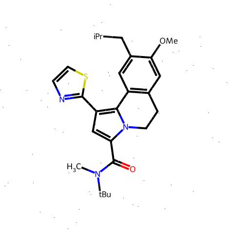 COc1cc2c(cc1CC(C)C)-c1c(-c3nccs3)cc(C(=O)N(C)C(C)(C)C)n1CC2